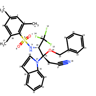 Cc1cc(C)c(S(=O)(=O)N[C@H](C(F)(F)F)[C@](CC#N)(OCc2ccccc2)n2ccc3ccccc32)c(C)c1